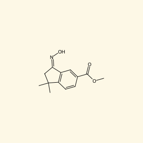 COC(=O)c1ccc2c(c1)/C(=N\O)CC2(C)C